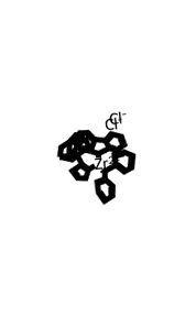 C1=CC(C23CC4CC(CC(C4)C2)C3)=[C]([Zr+2](=[C](c2ccccc2)c2ccccc2)[CH]2c3ccccc3-c3ccccc32)C1.[Cl-].[Cl-]